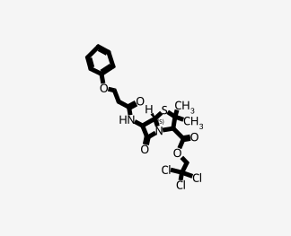 CC1(C)S[C@H]2C(NC(=O)CCOc3ccccc3)C(=O)N2C1C(=O)OCC(Cl)(Cl)Cl